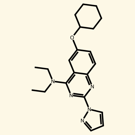 CCN(CC)c1nc(-n2cccn2)nc2ccc(OC3CCCCC3)cc12